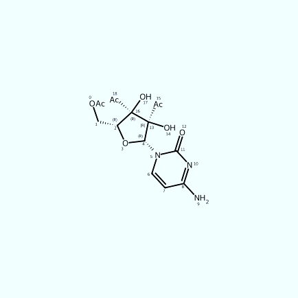 CC(=O)OC[C@H]1O[C@@H](n2ccc(N)nc2=O)[C@@](O)(C(C)=O)[C@@]1(O)C(C)=O